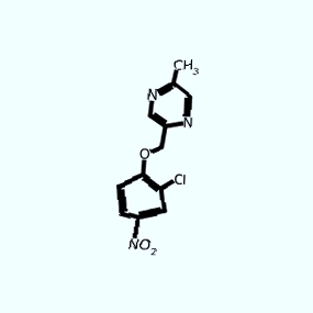 Cc1cnc(COc2ccc([N+](=O)[O-])cc2Cl)cn1